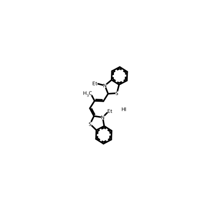 CCN1C(=CC(C)=CC2Sc3ccccc3N2CC)Sc2ccccc21.I